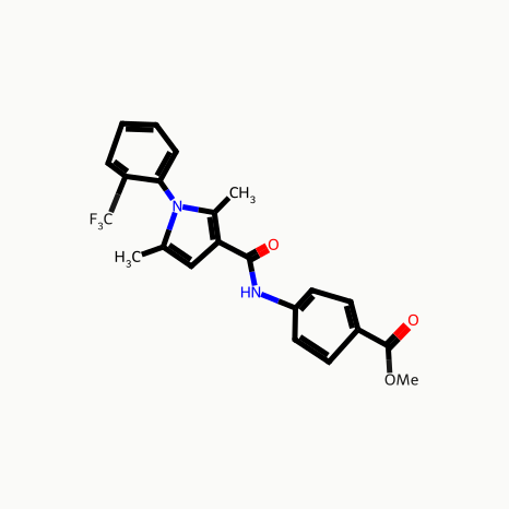 COC(=O)c1ccc(NC(=O)c2cc(C)n(-c3ccccc3C(F)(F)F)c2C)cc1